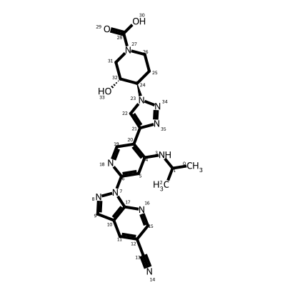 CC(C)Nc1cc(-n2ncc3cc(C#N)cnc32)ncc1-c1cn([C@@H]2CCN(C(=O)O)C[C@H]2O)nn1